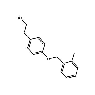 Cc1ccccc1COc1ccc(CCO)cc1